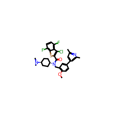 COc1ccc(-c2cc(C)nc(C)c2)cc1CN(C(=O)c1sc2c(F)ccc(F)c2c1Cl)[C@H]1CC[C@H](N(C)C)CC1